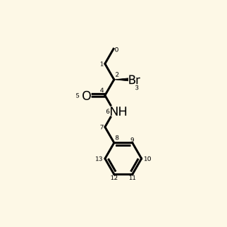 CC[C@@H](Br)C(=O)NCc1ccccc1